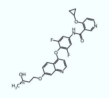 C[C@@H](O)CCOc1ccc2c(Oc3c(F)cc(NC(=O)c4cnccc4OC4CC4)cc3F)ccnc2c1